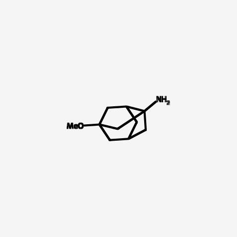 COC12CC3CC(C1)C(N)(C3)C2